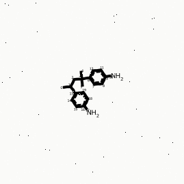 CC(CC(C)(C)c1ccc(N)cc1)c1ccc(N)cc1